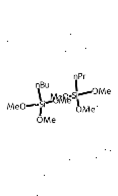 CCCC[Si](OC)(OC)OC.CCC[Si](OC)(OC)OC